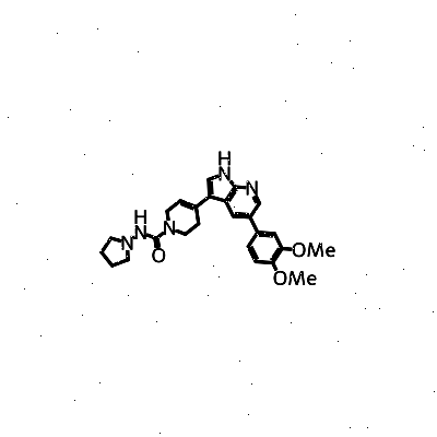 COc1ccc(-c2cnc3[nH]cc(C4=CCN(C(=O)NN5CCCC5)CC4)c3c2)cc1OC